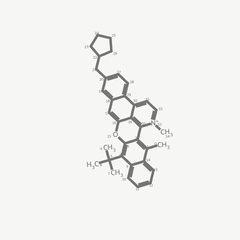 Cc1c2c(c(C(C)(C)C)c3ccccc13)Oc1cc3cc(CC4CCCC4)ccc3c3cc[n+](C)c-2c13